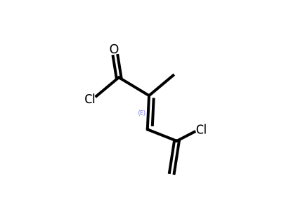 C=C(Cl)/C=C(\C)C(=O)Cl